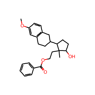 COc1ccc2c(c1)CCC(C1CCC(O)C1(C)CCOC(=O)c1ccccc1)C2